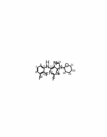 Fc1nc(Nc2cccc(F)c2F)c2ncn(C3CCCCO3)c2n1